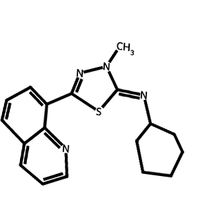 Cn1nc(-c2cccc3cccnc23)sc1=NC1CCCCC1